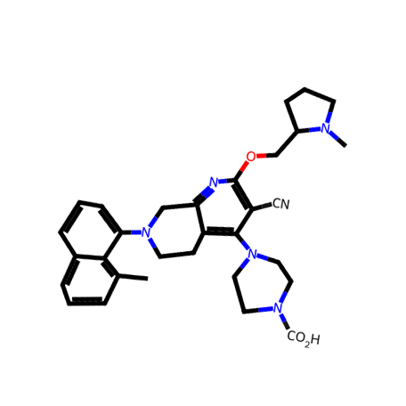 Cc1cccc2cccc(N3CCc4c(nc(OCC5CCCN5C)c(C#N)c4N4CCN(C(=O)O)CC4)C3)c12